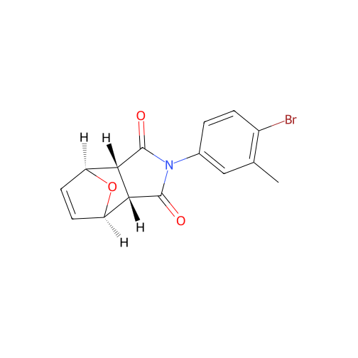 Cc1cc(N2C(=O)[C@@H]3[C@H](C2=O)[C@H]2C=C[C@@H]3O2)ccc1Br